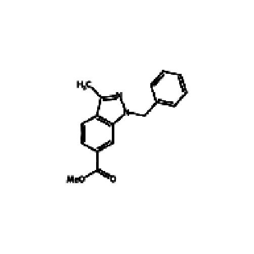 COC(=O)c1ccc2c(C)nn(Cc3ccccc3)c2c1